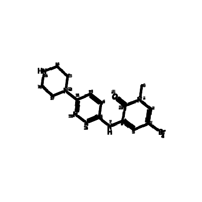 Cn1cc(Br)cc(Nc2ccc(N3CCNCC3)nn2)c1=O